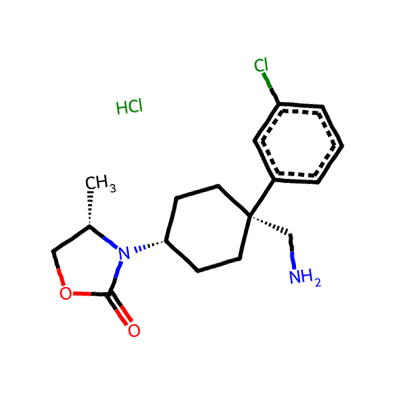 C[C@H]1COC(=O)N1[C@H]1CC[C@](CN)(c2cccc(Cl)c2)CC1.Cl